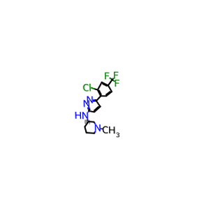 CN1CCC[C@@H](Nc2ccc(-c3ccc(C(F)(F)F)cc3Cl)nn2)C1